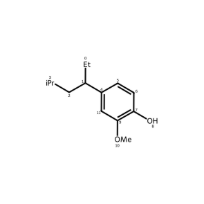 CCC(CC(C)C)c1ccc(O)c(OC)c1